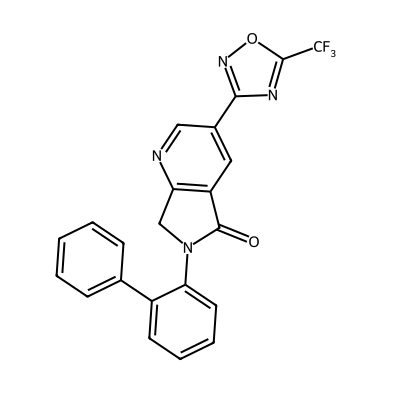 O=C1c2cc(-c3noc(C(F)(F)F)n3)cnc2CN1c1ccccc1-c1ccccc1